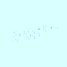 CC#CCn1c(N2CCC[C@@H](NC(=O)OC(C)(C)C)C2)nc2c1c(=O)n(Cc1cnc3cccnc3c1)c(=O)n2C